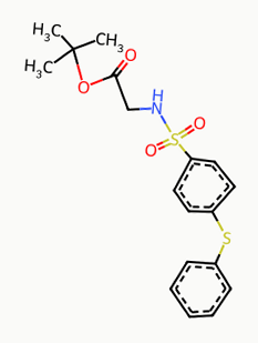 CC(C)(C)OC(=O)CNS(=O)(=O)c1ccc(Sc2ccccc2)cc1